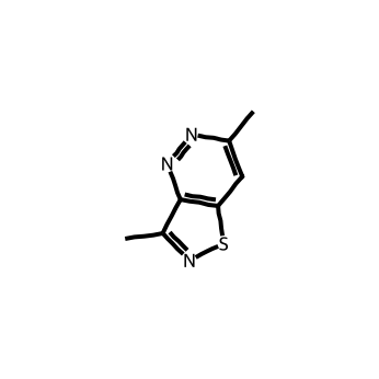 Cc1cc2snc(C)c2nn1